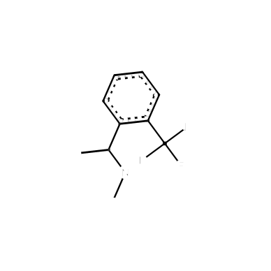 CNC(C)c1ccccc1C(F)(F)F